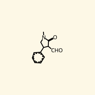 CN1CC(c2ccccc2)C(C=O)C1=O